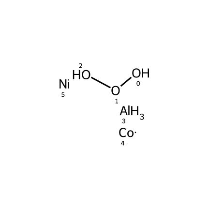 OOO.[AlH3].[Co].[Ni]